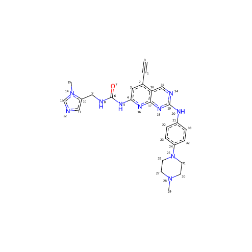 C#Cc1cc(NC(=O)NCc2cncn2C)nc2nc(Nc3ccc(N4CCN(C)CC4)cc3)ncc12